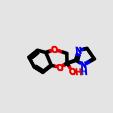 OC1(C2=NCCN2)COC2C=CC=CC2O1